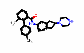 Cc1cccc(C(=O)Nc2ccc3c(c2)CC(N2CCNCC2)C3)c1-c1ccc(C(F)(F)F)cc1